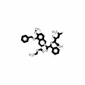 C#C/C(OC(C(=O)N1Cc2ccc(OC)c(OCc3ccccc3)c2C[C@H]1C(=O)OCC)c1ccccc1)=C(F)\C=C(/C)F